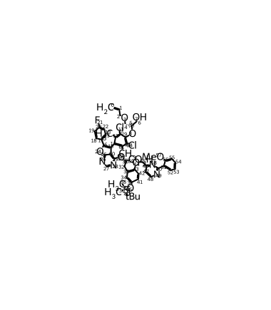 C=CCOC[C@H](CO)Oc1c(Cl)c(C)c(-c2c(-c3ccc(F)cc3)oc3ncnc(O[C@H](Cc4cc(O[Si](C)(C)C(C)(C)C)ccc4OCc4ccnc(-c5ccccc5OC)n4)C(=O)O)c23)c(C)c1Cl